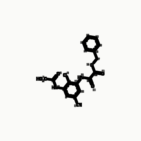 N#Cc1cc(NC(=O)C(=O)O)c(Cl)c(NC(=O)C(=O)OCc2ccccc2)c1